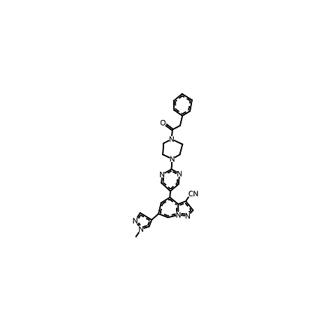 Cn1cc(-c2cc(-c3cnc(N4CCN(C(=O)Cc5ccccc5)CC4)nc3)c3c(C#N)cnn3c2)cn1